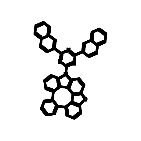 c1ccc2cc(-c3nc(-c4ccc5ccccc5c4)nc(-n4c5cccc6c7ccccc7c7cccc8oc9ccc4c(c9c87)c65)n3)ccc2c1